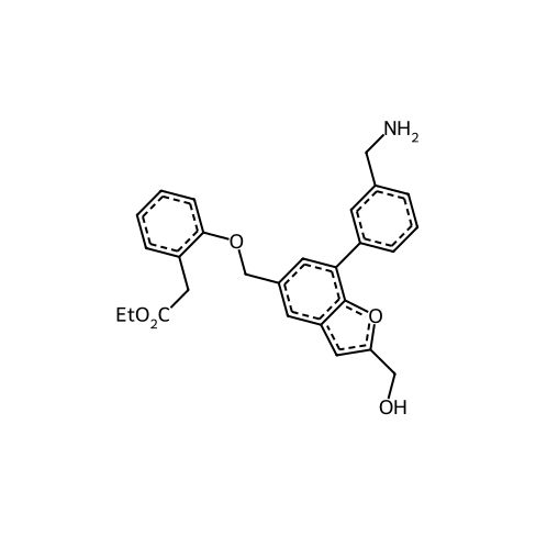 CCOC(=O)Cc1ccccc1OCc1cc(-c2cccc(CN)c2)c2oc(CO)cc2c1